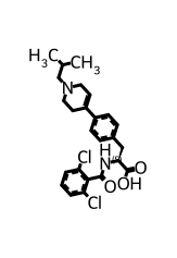 CC(C)CN1CC=C(c2ccc(C[C@H](NC(=O)c3c(Cl)cccc3Cl)C(=O)O)cc2)CC1